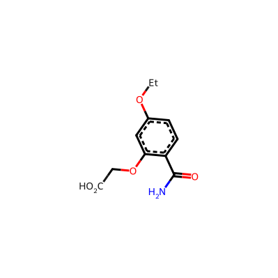 CCOc1ccc(C(N)=O)c(OCC(=O)O)c1